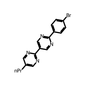 CCCc1cnc(-c2cnc(-c3ccc(Br)cc3)nc2)nc1